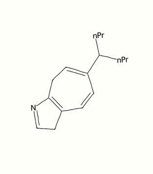 CCCC(CCC)C1=CCC2=C(C=C1)CC=N2